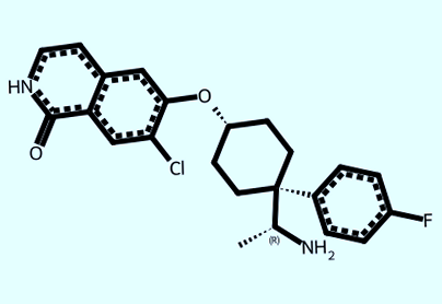 C[C@@H](N)[C@]1(c2ccc(F)cc2)CC[C@@H](Oc2cc3cc[nH]c(=O)c3cc2Cl)CC1